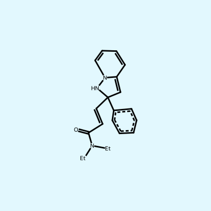 CCN(CC)C(=O)C=CC1(c2ccccc2)C=C2C=CC=CN2N1